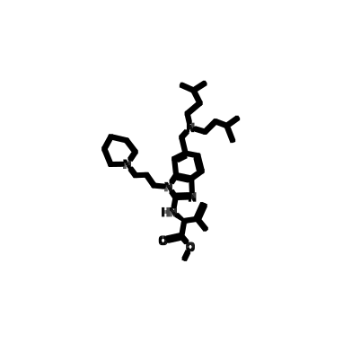 C=C(C)[C@H](Nc1nc2ccc(CN(CCC(C)C)CCC(C)C)cc2n1CCCN1CCCCC1)C(=O)OC